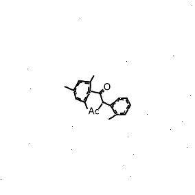 CC(=O)C(C(=O)c1c(C)cc(C)cc1C)c1ccccc1C